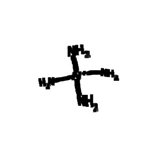 N[N+](N)(N)N